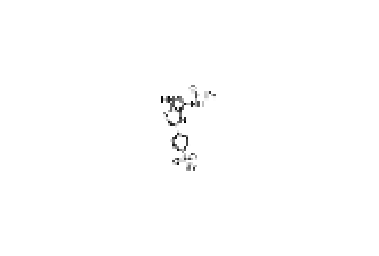 CC(C)C(=O)Nc1c[nH]c2ncc(-c3ccc(S(=O)(=O)C(C)C)cc3)nc12